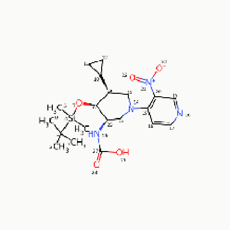 CC(C)(C)[Si](C)(C)O[C@H]1[C@@H](C2CC2)CN(c2ccncc2[N+](=O)[O-])C[C@H]1NC(=O)O